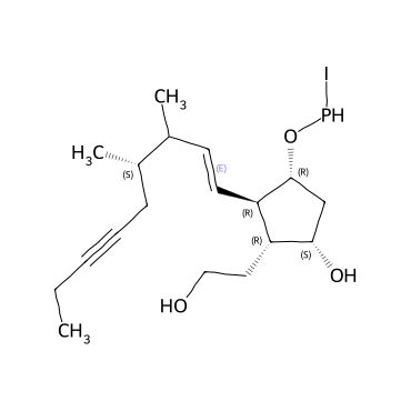 CCC#CC[C@H](C)C(C)/C=C/[C@@H]1[C@@H](CCO)[C@@H](O)C[C@H]1OPI